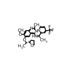 COc1cc2nc(C)nc(N[C@H](C)c3cc(C(F)(F)F)ccn3)c2cc1OC(C)[C@@H]1CCCO1